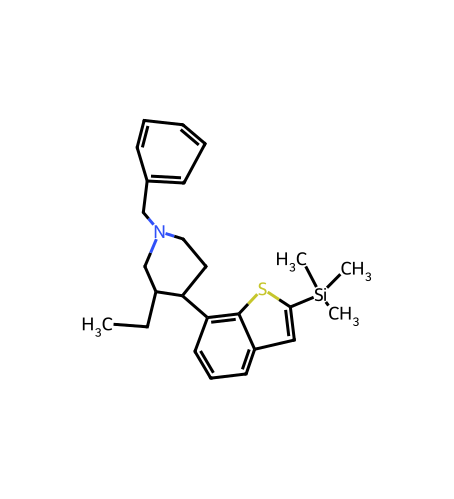 CCC1CN(Cc2ccccc2)CCC1c1cccc2cc([Si](C)(C)C)sc12